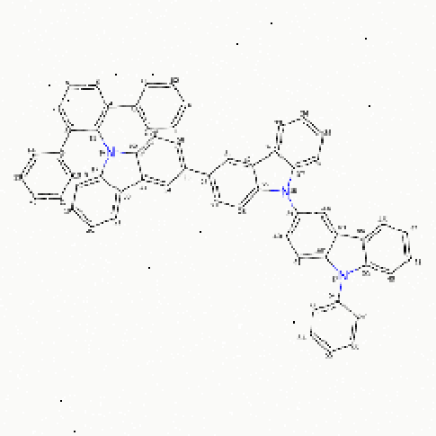 c1ccc(-c2cccc(-c3ccccc3)c2-n2c3ccccc3c3cc(-c4ccc5c(c4)c4ccccc4n5-c4ccc5c(c4)c4ccccc4n5-c4ccccc4)ccc32)cc1